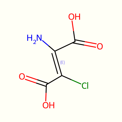 N/C(C(=O)O)=C(/Cl)C(=O)O